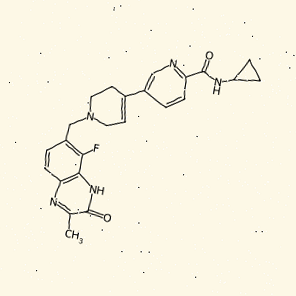 Cc1nc2ccc(CN3CC=C(c4ccc(C(=O)NC5CC5)nc4)CC3)c(F)c2[nH]c1=O